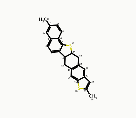 Cc1ccc2c3c(ccc2c1)C1Cc2cc4sc(C)cc4cc2CC1S3